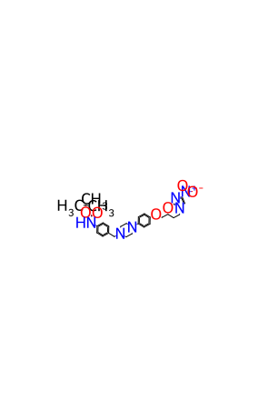 CC(C)(C)OC(=O)Nc1ccc(CN2CCN(c3ccc(OCC4CCn5cc([N+](=O)[O-])nc5O4)cc3)CC2)cc1